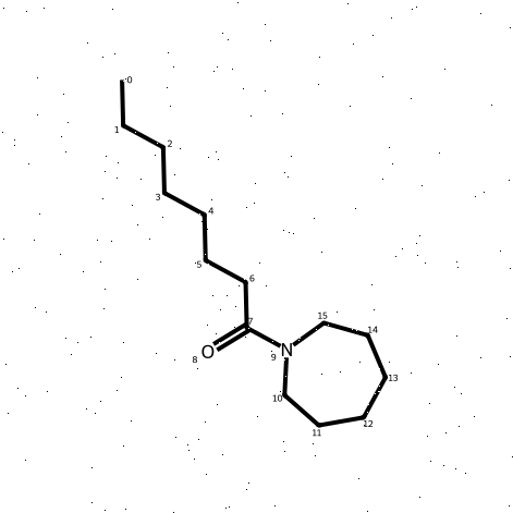 CCCCCCCC(=O)N1CCCCCC1